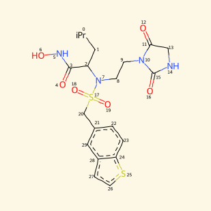 CC(C)CC(C(=O)NO)N(CCN1C(=O)CNC1=O)S(=O)(=O)Cc1ccc2sccc2c1